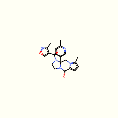 Cc1ccc(C23Cn4c(C)ccc4C(=O)N2CCN3C(=O)c2conc2C)cn1